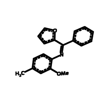 COc1cc(C)ccc1N=C(c1ccccc1)c1ccco1